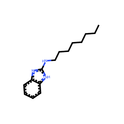 CCCCCCCCNc1nc2ccccc2[nH]1